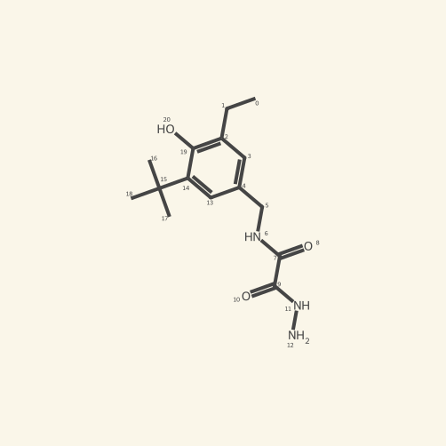 CCc1cc(CNC(=O)C(=O)NN)cc(C(C)(C)C)c1O